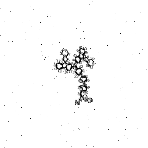 CCCCC1(CCCC)c2ccccc2-c2ccc(N(c3ccc(-c4ccc(-c5ccc(/C=C(/C#N)OC=O)s5)s4)cc3)c3ccc4c(c3)C(CCCC)(CCCC)c3ccccc3-4)cc21